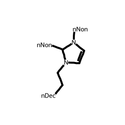 CCCCCCCCCCCCN1C=CN(CCCCCCCCC)C1CCCCCCCCC